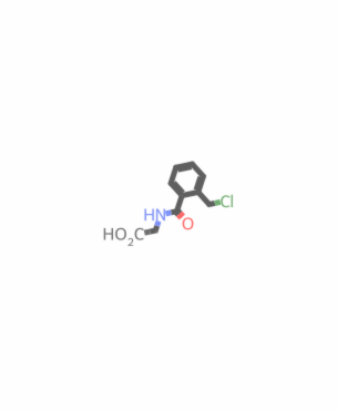 O=C(O)CNC(=O)c1ccccc1CCl